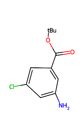 CC(C)(C)OC(=O)c1cc(N)cc(Cl)c1